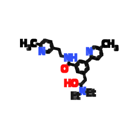 CCN(CC)C(O)Cc1cc(C(=O)NCCc2ccc(C)nc2)cc(-c2ccc(C)cn2)c1